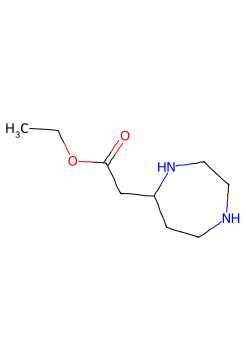 CCOC(=O)CC1CCNCCN1